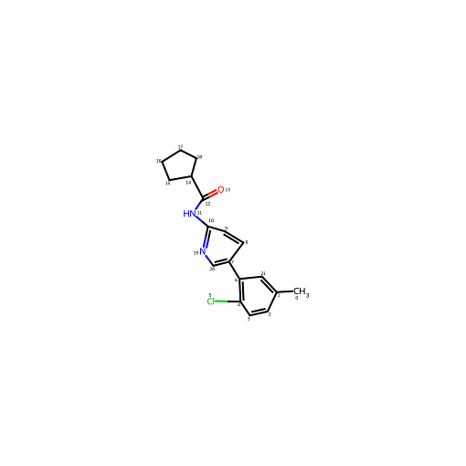 Cc1ccc(Cl)c(-c2ccc(NC(=O)C3CCCC3)nc2)c1